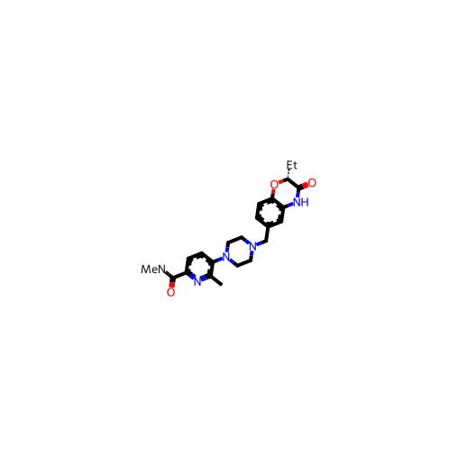 CC[C@H]1Oc2ccc(CN3CCN(c4ccc(C(=O)NC)nc4C)CC3)cc2NC1=O